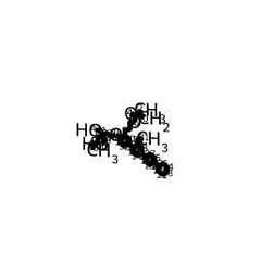 C=C(C)C(=O)OCCCc1cc(-c2ccc(-c3ccc(C4CCCCC4)cc3)cc2CC)ccc1OCCC(CO)(CO)CCCC